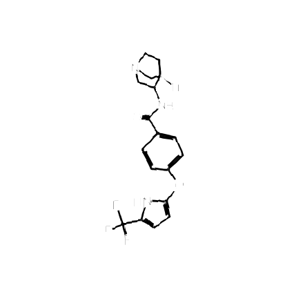 O=C(NC1CN2CC[C@H]1C2)c1ccc(Oc2ccc(C(F)(F)F)[nH]2)cc1